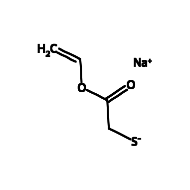 C=COC(=O)C[S-].[Na+]